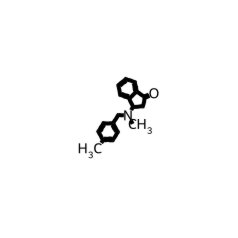 Cc1ccc(CN(C)C2CC(=O)c3ccccc32)cc1